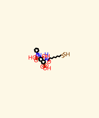 O=C(CCCCCCCSS)Nc1cc(S(=O)(=O)O)cc2cc(S(=O)(=O)O)c(/N=N/c3ccccc3)c(O)c12